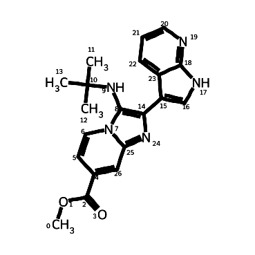 COC(=O)c1ccn2c(NC(C)(C)C)c(-c3c[nH]c4ncccc34)nc2c1